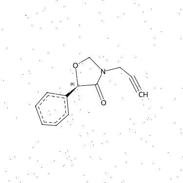 C#CCN1CO[C@H](c2ccccc2)C1=O